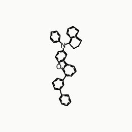 C1=c2ccccc2=C(N(c2ccccc2)c2ccc3oc4c(-c5cccc(-c6ccccc6)c5)cccc4c3c2)CC1